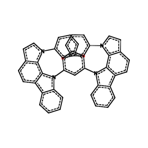 c1ccc(-n2ccc3ccc4c5ccccc5n(-c5cccc(-n6c7ccccc7c7ccc8ccn(-c9ccccc9)c8c76)c5)c4c32)cc1